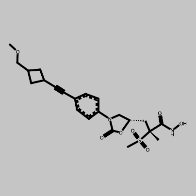 COCC1CC(C#Cc2ccc(N3C[C@H](C[C@](C)(C(=O)NO)S(C)(=O)=O)OC3=O)cc2)C1